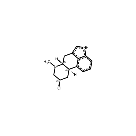 CN1C[C@H](Cl)C[C@@H]2c3cccc4[nH]cc(c34)C[C@H]21